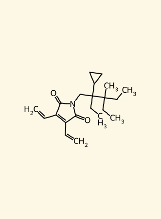 C=CC1=C(C=C)C(=O)N(CC(CC)(C2CC2)C(C)(CC)CC)C1=O